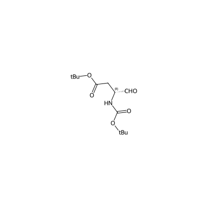 CC(C)(C)OC(=O)C[C@H](C=O)NC(=O)OC(C)(C)C